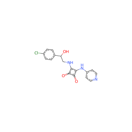 O=c1c(NCC(O)c2ccc(Cl)cc2)c(Nc2ccncc2)c1=O